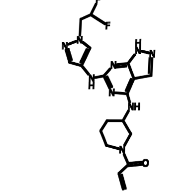 C=CC(=O)N1CCCC(Nc2nc(Nc3cnn(CC(F)F)c3)nc3[nH]ncc23)C1